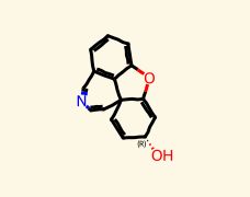 O[C@@H]1C=CC23C=CN=Cc4cccc(c42)OC3=C1